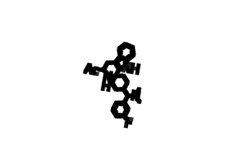 CC(=O)C1Cc2c([nH]c3ccccc23)C2(CCC(C(c3cccc(F)c3)N(C)C)CC2)N1